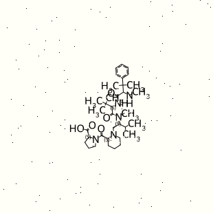 CNC(C(=O)N[C@H](C(=O)N(C)[C@H](CN1CCCC[C@H]1C(=O)N1CCC[C@H]1C(=O)O)C(C)C)C(C)(C)C)C(C)(C)c1ccccc1